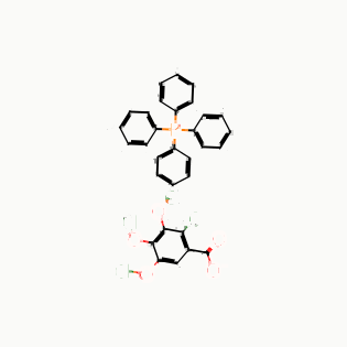 O=C([O-])c1cc(OCl)c(OCl)c(OCl)c1Cl.c1ccc([P+](c2ccccc2)(c2ccccc2)c2ccccc2)cc1